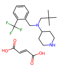 CC(C)(C)CN(Cc1ccccc1C(F)(F)F)C1CCNCC1.O=C(O)C=CC(=O)O